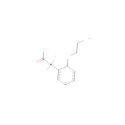 COCCOc1ccccc1C(F)(F)C(N)=O